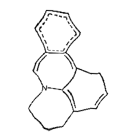 C1=CC2=C3C(=c4ccccc4=CN3CCC2)C1